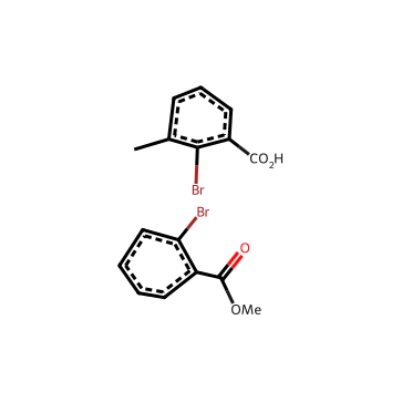 COC(=O)c1ccccc1Br.Cc1cccc(C(=O)O)c1Br